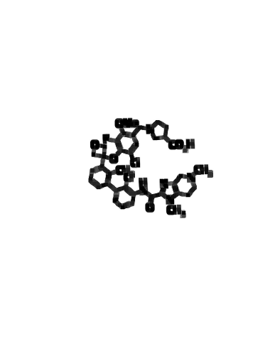 COc1c(CN2CCC(C(=O)O)C2)cc(Cl)c(OC2(c3cccc(-c4cccc(NC(=O)c5nc6c(n5C)CCN(C)C6)c4Cl)c3C)COC2)c1F